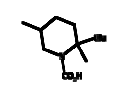 CC1CCC(C)(C(C)(C)C)N(C(=O)O)C1